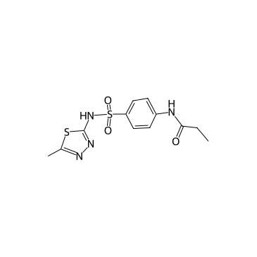 CCC(=O)Nc1ccc(S(=O)(=O)Nc2nnc(C)s2)cc1